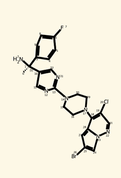 C[C@](N)(c1ccc(F)cc1)c1cnc(N2CCN(c3c(Cl)cnn4cc(Br)cc34)CC2)nc1